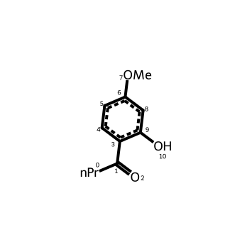 CCCC(=O)c1ccc(OC)cc1O